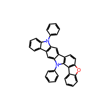 c1ccc(-n2c3ccccc3c3cc4c(cc32)c2ccc3oc5ccccc5c3c2n4-c2ccccc2)cc1